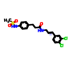 CS(=O)(=O)Nc1ccc(CCC(=O)NC/C=C/c2ccc(Cl)c(Cl)c2)cc1